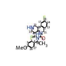 COc1ccc([C@@H](C)NC(=O)N(Cc2ccc(F)cc2)[C@H]2CCNC[C@H]2CF)cc1